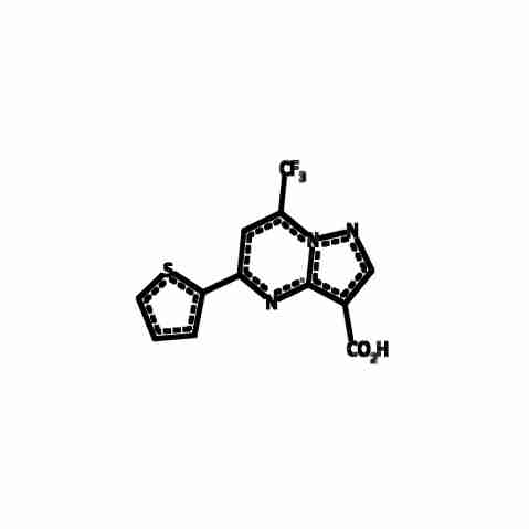 O=C(O)c1cnn2c(C(F)(F)F)cc(-c3cccs3)nc12